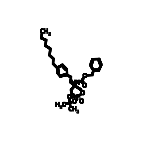 CCCCCCCCc1ccc(CCC2(NC(=O)OCc3ccccc3)COP(=O)(OC(C)(C)C)OC2)cc1